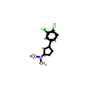 CN(C)C1CCC(c2ccc(Cl)c(Cl)c2)C1